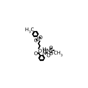 CCS(=O)(=O)NC(=O)Nc1ccccc1C(=O)OCCCCS(=O)(=O)c1ccc(C)cc1